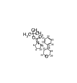 CC(C)(C)OC(=O)N1CCC[C@H]1c1ccccc1C1CCOCC1